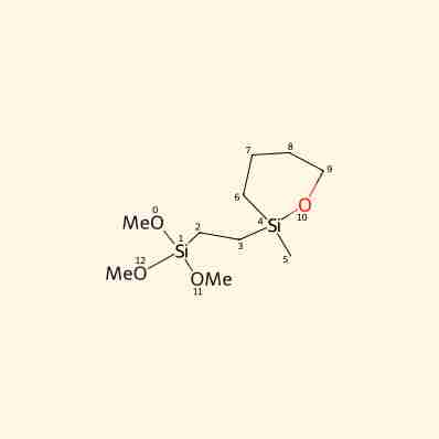 CO[Si](CC[Si]1(C)CCCCO1)(OC)OC